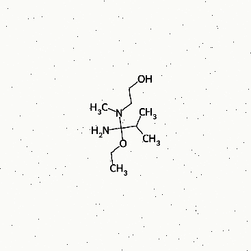 CCOC(N)(C(C)C)N(C)CCO